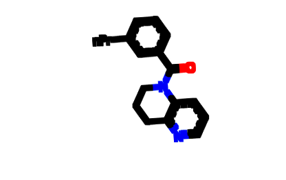 CCCc1cccc(C(=O)N2CCCc3ncccc32)c1